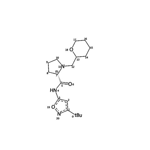 CC(C)(C)c1cc(NC(=O)[C@@H]2CCCN2CC2CCCCO2)on1